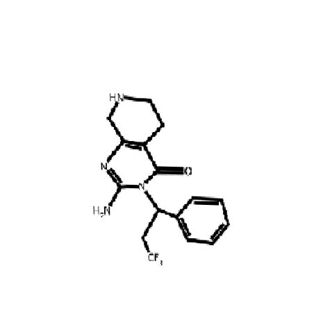 Nc1nc2c(c(=O)n1C(CC(F)(F)F)c1ccccc1)CCNC2